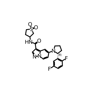 O=C(NC1CCS(=O)(=O)C1)c1cnn2ccc(N3CCC[C@@H]3c3cc(F)ccc3F)cc12